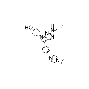 CCCCNc1ncc2c(-c3ccc([C@@H](C)N4CCN(C(C)C)CC4)cc3)cn([C@H]3CC[C@H](O)CC3)c2n1